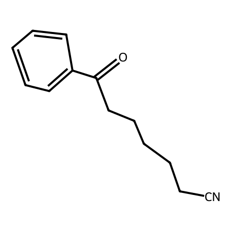 N#CCCCCCC(=O)c1ccccc1